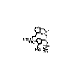 C[C@H](Cc1cccc(CCC(=O)O)c1)NC[C@H](CC(C)(C)[Si](C)(C)O)c1ccc(O)c(CO)c1